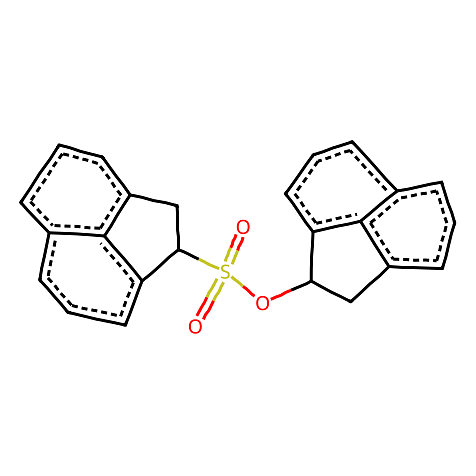 O=S(=O)(OC1Cc2cccc3cccc1c23)C1Cc2cccc3cccc1c23